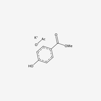 CC(=O)[O-].COC(=O)c1ccc(O)cc1.[K+]